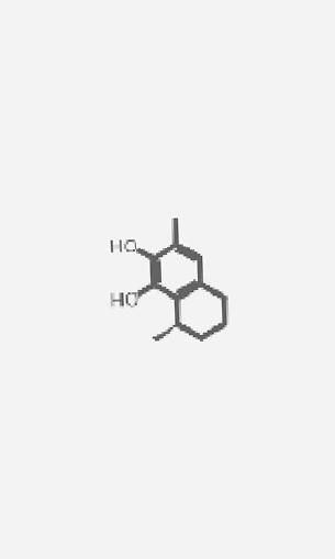 Cc1cc2c(c(O)c1O)[C@H](C)CCC2